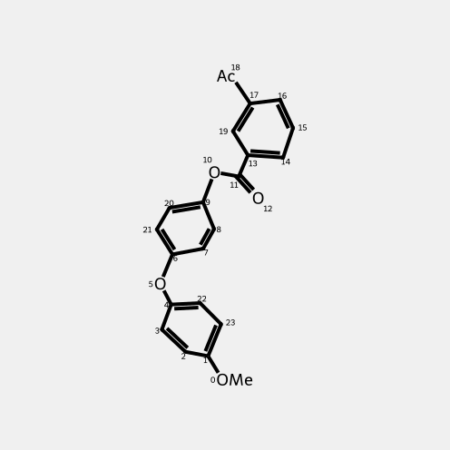 COc1ccc(Oc2ccc(OC(=O)c3cccc(C(C)=O)c3)cc2)cc1